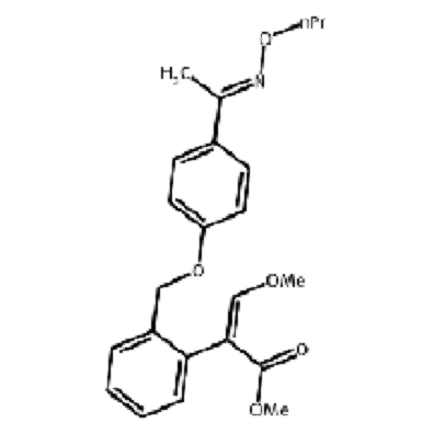 CCCO/N=C(\C)c1ccc(OCc2ccccc2/C(=C/OC)C(=O)OC)cc1